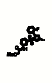 [CH2]c1cc(-c2ccccc2F)n(S(=O)(=O)c2cccc(NC(=O)COC)c2)c1